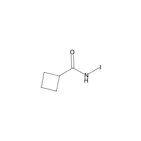 O=C(NI)C1CCC1